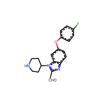 O=Cc1nc2ccc(Oc3ccc(F)cc3)cc2n1C1CCNCC1